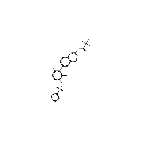 CC(C)(C)C(=O)Nc1ncc2cc(-c3c(F)ccc(NS(=O)(=O)c4ccsc4)c3F)ccc2n1